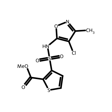 COC(=O)c1sccc1S(=O)(=O)Nc1onc(C)c1Cl